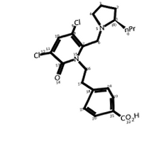 CCC[C@@H]1CCCN1Cc1c(Cl)cc(Cl)c(=O)n1CCc1ccc(C(=O)O)cc1